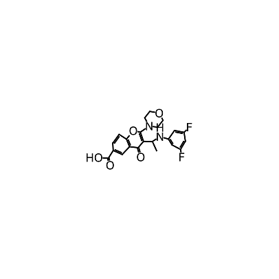 CC(Nc1cc(F)cc(F)c1)c1c(N2CCOCC2)oc2ccc(C(=O)O)cc2c1=O